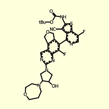 CC(C)(C)OC(=O)Nc1sc2c(F)cnc(-c3c4c(c5cnc(N6CC(O)C(N7CCCOCC7)C6)nc5c3F)COC4)c2c1C#N